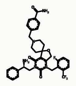 NC(=O)c1ccc(CN2CCC3(CC2)OCc2c3c(=O)n(C[C@H](N)c3ccccc3)c(=O)n2Cc2c(F)cccc2C(F)(F)F)cc1